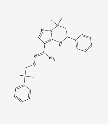 CC(C)(CO/N=C(\N)c1cnn2c1NC(c1ccccc1)CC2(C)C)c1ccccc1